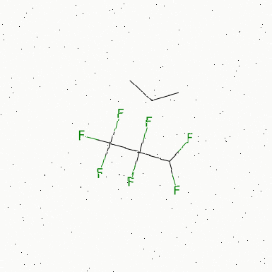 CCC.FC(F)C(F)(F)C(F)(F)F